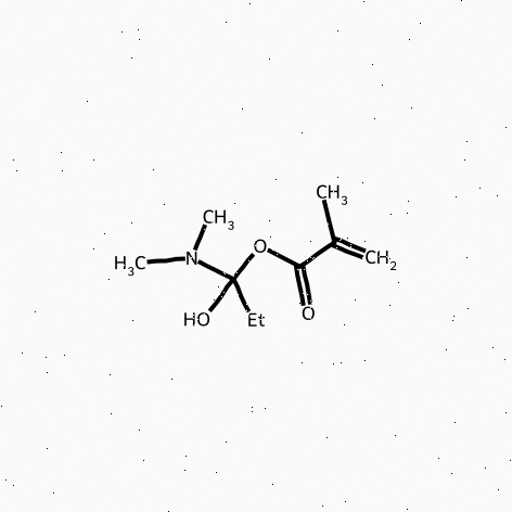 C=C(C)C(=O)OC(O)(CC)N(C)C